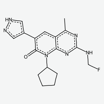 Cc1nc(NCF)nc2c1cc(-c1cn[nH]c1)c(=O)n2C1CCCC1